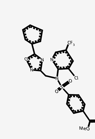 COC(=O)c1ccc(S(=O)(=O)N(Cc2noc(-c3ccccc3)n2)c2ncc(C(F)(F)F)cc2Cl)cc1